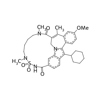 COc1ccc2c(c1)C(C)=C1Cn3c-2c(C2CCCCC2)c2ccc(cc23)C(=O)NS(=O)(=O)N(C)CCCCN(C)C1=O